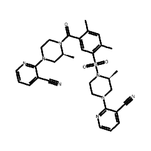 Cc1cc(C)c(S(=O)(=O)N2CCN(c3ncccc3C#N)C[C@@H]2C)cc1C(=O)N1CCN(c2ncccc2C#N)C[C@@H]1C